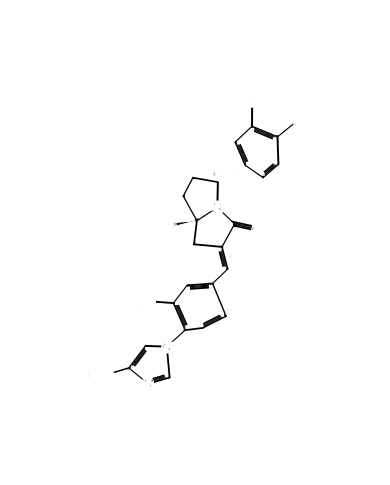 Bc1cc(/C=C2\C[C@@H]3CC[C@H](c4ccc(F)c(F)c4)N3C2=O)ccc1-n1cnc(C)c1